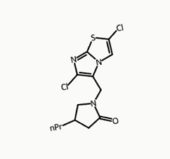 CCCC1CC(=O)N(Cc2c(Cl)nc3sc(Cl)cn23)C1